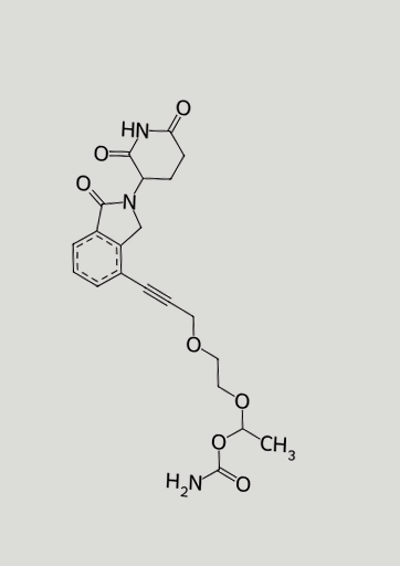 CC(OCCOCC#Cc1cccc2c1CN(C1CCC(=O)NC1=O)C2=O)OC(N)=O